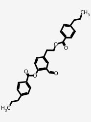 CCCc1ccc(C(=O)OCCc2ccc(OC(=O)c3ccc(CCC)cc3)c(C=O)c2)cc1